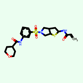 C=CC(=O)NC1CC2CN(S(=O)(=O)c3cccc(NC(=O)C4CCOCC4)c3)CC2S1